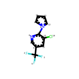 FC(F)(F)c1cnc(-n2cccc2)c(Cl)c1